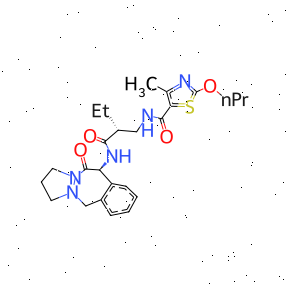 CCCOc1nc(C)c(C(=O)NC[C@@H](CC)C(=O)N[C@@H]2C(=O)N3CCCN3Cc3ccccc32)s1